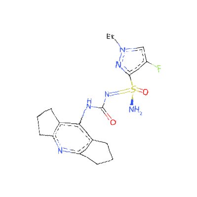 CCn1cc(F)c([S@](N)(=O)=NC(=O)Nc2c3c(nc4c2CCC4)CCC3)n1